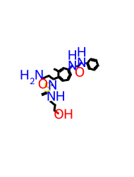 C=C(NCCCO)S/N=C(\CC(N)=O)C1=CC=C=C(NC(=O)Nc2ccccc2)C=C1C